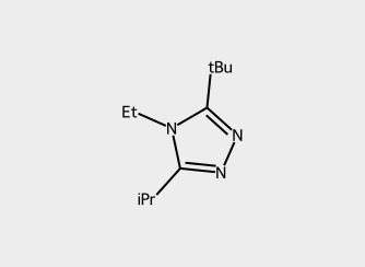 CCn1c(C(C)C)nnc1C(C)(C)C